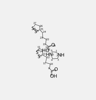 C1CNCCN1.O=C(O)CCCCC1CCSS1.O=C(O)CCCCC1CCSS1